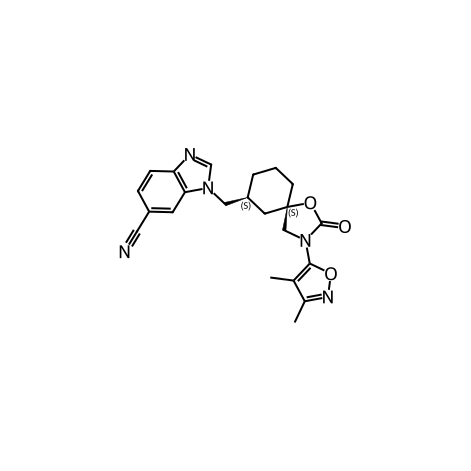 Cc1noc(N2C[C@@]3(CCC[C@H](Cn4cnc5ccc(C#N)cc54)C3)OC2=O)c1C